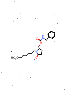 O=C(O)CCCCCCN1C(=O)CCC1COC(=O)NCc1ccccc1